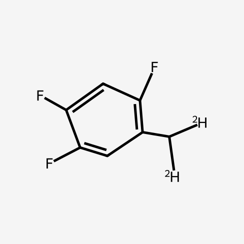 [2H]C([2H])c1cc(F)c(F)cc1F